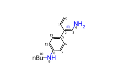 C=C/C(=C\N)c1ccc(NCCCC)cc1